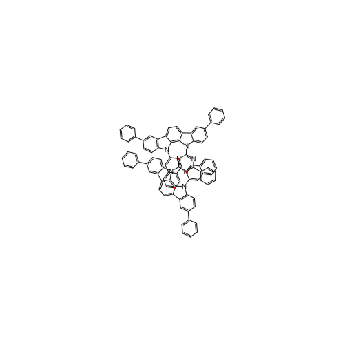 c1ccc(-c2ccc3c(c2)c2ccc4c5cc(-c6ccccc6)ccc5n(-c5nc(-c6ccccc6)nc(-n6c7ccc(-c8ccccc8)cc7c7ccc8c9cc(-c%10ccccc%10)ccc9n(-c9ccc%10ccccc%10c9)c8c76)n5)c4c2n3-c2ccc3ccccc3c2)cc1